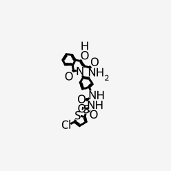 NC(=O)c1c(O)c2ccccc2c(=O)n1-c1ccc(NC(=O)NS(=O)(=O)c2ccc(Cl)s2)cc1